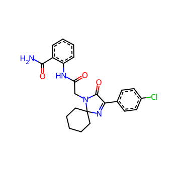 NC(=O)c1ccccc1NC(=O)CN1C(=O)C(c2ccc(Cl)cc2)=NC12CCCCC2